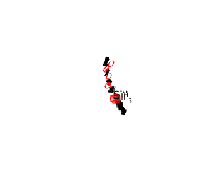 C#CCC(=O)OCCOCCOCC[SiH2]OCCCC